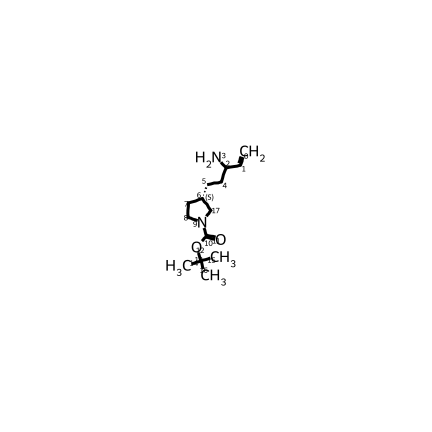 C=CC(N)CC[C@H]1CCN(C(=O)OC(C)(C)C)C1